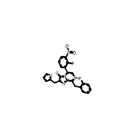 O=c1c(Cc2ccco2)nc2c(Cc3ccccc3F)[nH]cc(-c3cccc([N+](=O)[O-])c3F)n1-2